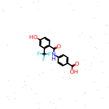 O=C(O)c1ccc(NC(=O)c2ccc(O)cc2C(F)(F)F)cc1